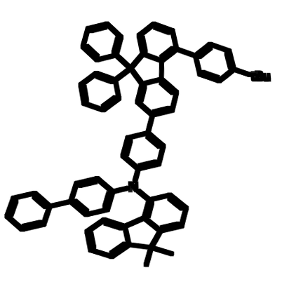 CC(C)(C)c1ccc(-c2cccc3c2-c2ccc(-c4ccc(N(c5ccc(-c6ccccc6)cc5)c5cccc6c5-c5ccccc5C6(C)C)cc4)cc2C3(c2ccccc2)c2ccccc2)cc1